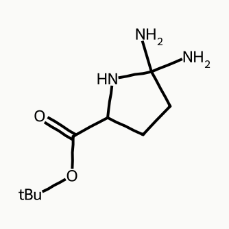 CC(C)(C)OC(=O)C1CCC(N)(N)N1